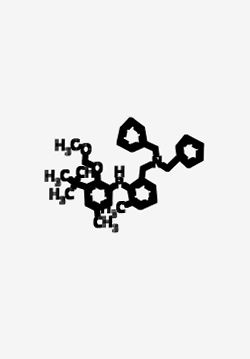 COCOc1c(Pc2c(C)cccc2CN(Cc2ccccc2)Cc2ccccc2)cc(C)cc1C(C)(C)C